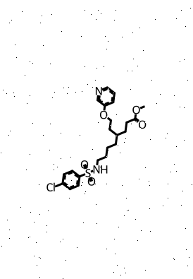 COC(=O)CCC(CCCCNS(=O)(=O)c1ccc(Cl)cc1)CCOc1cccnc1